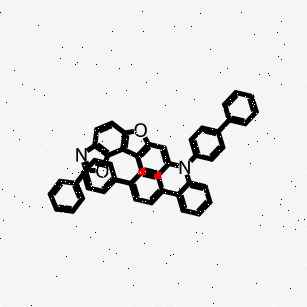 c1ccc(-c2ccc(-c3ccccc3N(c3ccc(-c4ccccc4)cc3)c3ccc4c(c3)oc3ccc5nc(-c6ccccc6)oc5c34)cc2)cc1